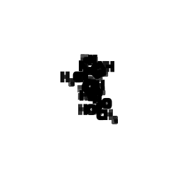 C[C@@H](O)C(=O)N1C[C@H]2C[C@@H](N(C)c3ncnc4[nH]ccc34)C[C@H]2C1